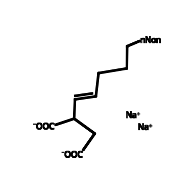 CCCCCCCCCCCC/C=C/C(CC(=O)[O-])C(=O)[O-].[Na+].[Na+]